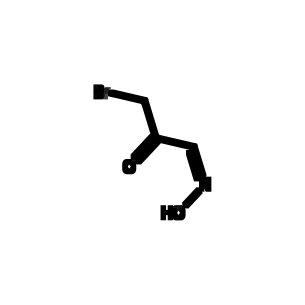 O=C(/C=N\O)CBr